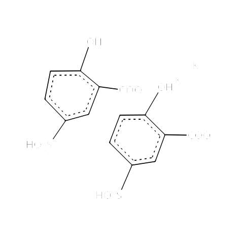 O=C([O-])c1cc(S(=O)(=O)O)ccc1O.O=C([O-])c1cc(S(=O)(=O)O)ccc1O.[K+].[K+]